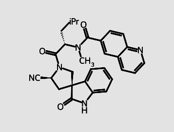 CC(C)C[C@@H](C(=O)N1C[C@]2(C[C@H]1C#N)C(=O)Nc1ccccc12)N(C)C(=O)c1ccc2ncccc2c1